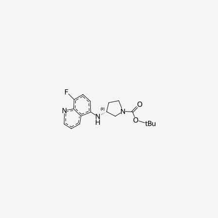 CC(C)(C)OC(=O)N1CC[C@@H](Nc2ccc(F)c3ncccc23)C1